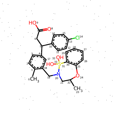 Cc1ccc(C(CC(=O)O)c2ccc(Cl)cc2)cc1CN1CC(C)Oc2ccccc2S1(O)O